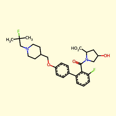 CC(C)(F)CN1CCC(COc2ccc(-c3cccc(F)c3C(=O)N3CC(O)CC3C(=O)O)cc2)CC1